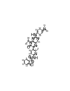 Cc1nc(NS(=O)(=O)c2ccccc2Cl)ccc1-c1nc2cnc(NC3CCC(N(C)C)CC3)nc2n(C(C)C)c1=O